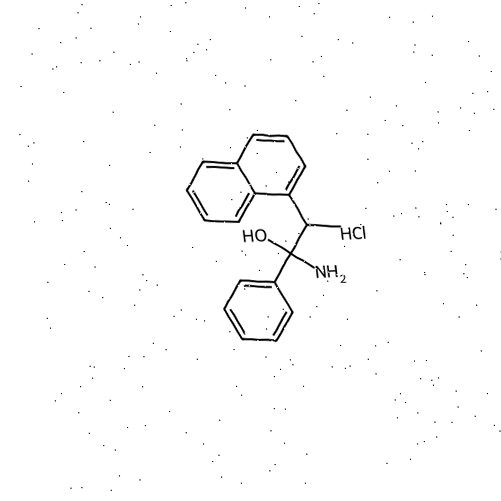 CC(c1cccc2ccccc12)C(N)(O)c1ccccc1.Cl